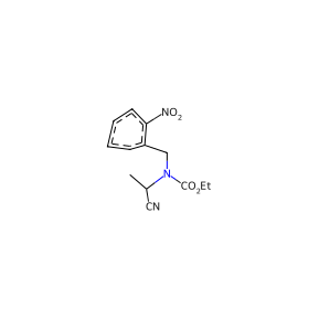 CCOC(=O)N(Cc1ccccc1[N+](=O)[O-])C(C)C#N